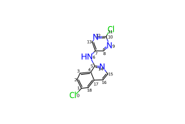 Clc1ccc2c(Nc3cnc(Cl)nc3)nccc2c1